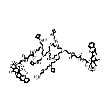 CC[C@]1(OC(=O)CNC(=O)CCC(=O)NCCN(CCNC2CCC2)CCN(CCNC2CCC2)CCN(CCN)CCNCCN(CCNCCN(CCNCCN)C2CCC2)CCN(CCNCCNCCNC2CCC2)CCNC(=O)CCC(=O)NCC(=O)O[C@]2(CC)C(=O)OCc3c2cc2n(c3=O)Cc3cc4ccccc4nc3-2)C(=O)OCc2c1cc1n(c2=O)Cc2cc3ccccc3nc2-1